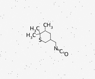 CC1CC(CN=C=O)CSC1(C)C